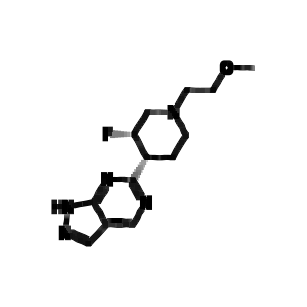 COCCN1CC[C@H](c2ncc3cn[nH]c3n2)[C@H](F)C1